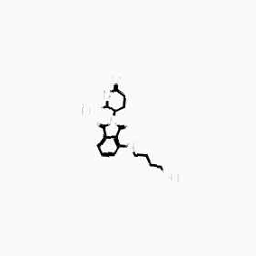 O=C1CCC(N2C(=O)c3cccc(NCCCCO)c3C2=O)C(O)N1